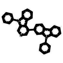 c1ccc(-n2c3ccccc3c3ccc(-c4cncc5c4c4ccccc4n5-c4ccccc4)cc32)cc1